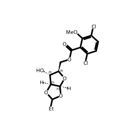 CCC1O[C@@H]2O[C@H](COC(=O)c3c(Cl)ccc(Cl)c3OC)[C@@H](O)[C@@H]2O1